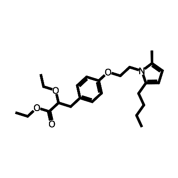 CCCCc1ccc(C)n1CCOc1ccc(CC(OCC)C(=O)OCC)cc1